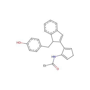 CCC(=O)NC1=CCC=C1C1=Cc2ccccc2C1Cc1ccc(O)cc1